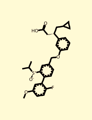 COc1ccc(F)c(-c2ccc(COc3cccc([C@H](CC(=O)O)CC4CC4)c3)cc2[S@@+]([O-])C(C)C)c1